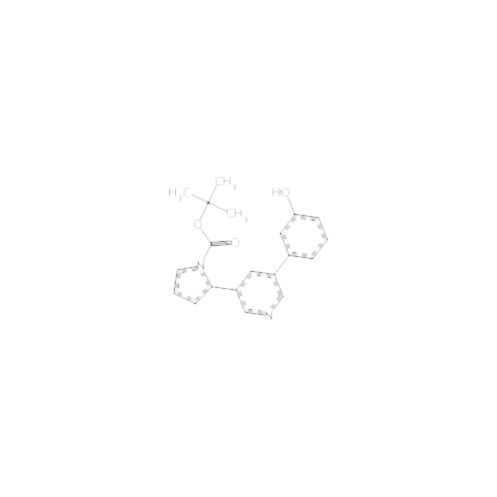 CC(C)(C)OC(=O)n1cccc1-c1cncc(-c2cccc(O)c2)c1